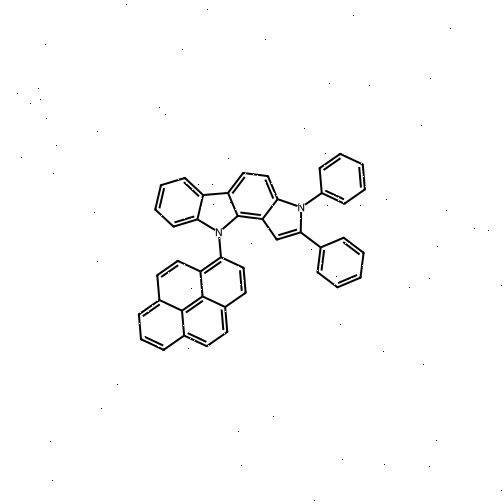 c1ccc(-c2cc3c(ccc4c5ccccc5n(-c5ccc6ccc7cccc8ccc5c6c78)c43)n2-c2ccccc2)cc1